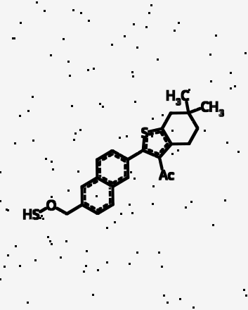 CC(=O)c1c(-c2ccc3cc(COS)ccc3c2)sc2c1CCC(C)(C)C2